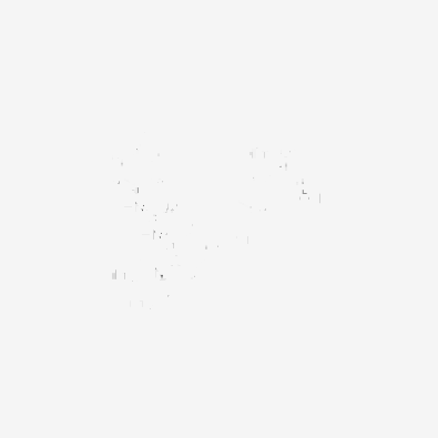 CC[C@@H](CC(=O)OC(OC(=O)C(C)O)C(C)C)c1ccc(N(CC(C)C)CC(C)C)c(NC(=O)Nc2ccc(C)cc2)c1